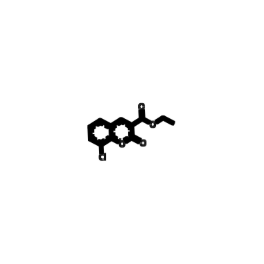 CCOC(=O)c1cc2cccc(Cl)c2oc1=O